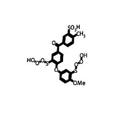 COc1ccc(Oc2ccc(C(=O)c3ccc(C)c(S(=O)(=O)O)c3)cc2SOOO)cc1SOOO